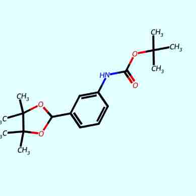 CC(C)(C)OC(=O)Nc1cccc(C2OC(C)(C)C(C)(C)O2)c1